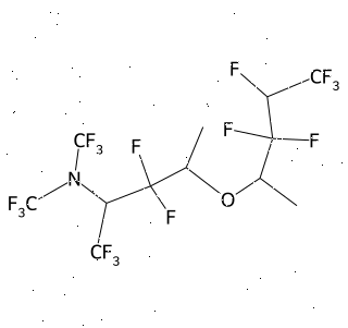 CC(OC(C)C(F)(F)C(N(C(F)(F)F)C(F)(F)F)C(F)(F)F)C(F)(F)C(F)C(F)(F)F